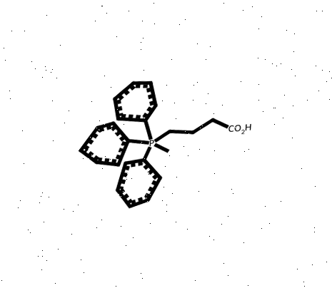 CP(CCCC(=O)O)(c1ccccc1)(c1ccccc1)c1ccccc1